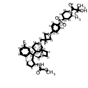 COC(=O)N[C@H]1CCC[C@@H]1[C@](CN1CCC1)(c1cccc(F)c1)C1CCN(CC2(F)CN(c3ccc(S(=O)(=O)C4CCN(C(=O)C(C)(C)O)CC4)cc3)C2)CC1